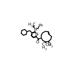 C=CN(CC(C)C)c1nc(C(=O)C2CCC/C=C/CCC(=O)C(C)(C)C2)ccc1CC1CCCCC1